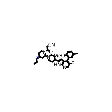 C=C/C=C1/CCN(C(=O)CC#N)C(N2CCC(c3cc4c(-c5cc(F)ccc5OC)c(F)cnc4[nH]3)CC2)C1